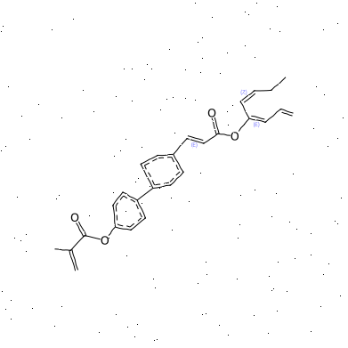 C=C/C=C(\C=C/CC)OC(=O)/C=C/c1ccc(-c2ccc(OC(=O)C(=C)C)cc2)cc1